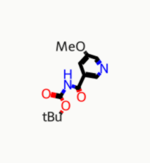 COc1cncc(C(=O)NC(=O)OC(C)(C)C)c1